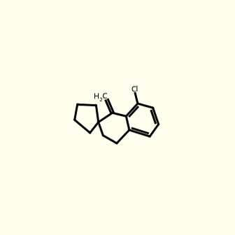 C=C1c2c(Cl)cccc2CCC12CCCC2